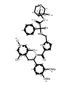 CCC(NCc1ccc(C(=O)OC(Cc2c(Cl)c[n+]([O-])cc2Cl)c2ccc(OC)c(OC)c2)s1)(C(=O)O[C@H]1CN2CCC1CC2)c1ccccc1